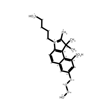 CC1=[N+](CCCCS(=O)(=O)O)c2ccc3cc(SOOO)cc(S(=O)(=O)O)c3c2C1(C)C